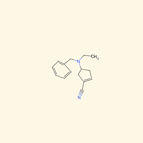 CCN(Cc1ccccc1)C1CC=C(C#N)C1